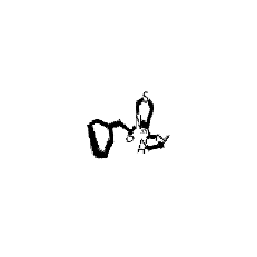 O=C([CH]c1ccccc1)N1CSC[C@H]1c1nc[c][nH]1